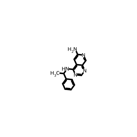 CC(Nc1ncnc2cnc(N)cc12)c1ccccc1